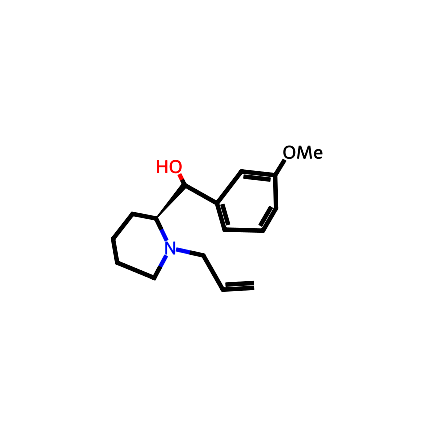 C=CCN1CCCC[C@H]1C(O)c1cccc(OC)c1